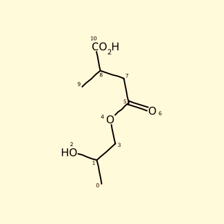 CC(O)COC(=O)CC(C)C(=O)O